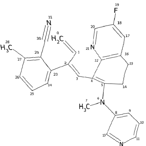 C=C/C(=C\C1=C(N(C)c2cccnc2)CCc2cc(F)cnc21)c1cccc(C)c1C#N